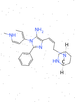 C/C=C(\C=C/NC)n1c(-c2ccccc2)nc(/C=C\CN2C[C@H]3CC[C@@H]2CN3)c1N